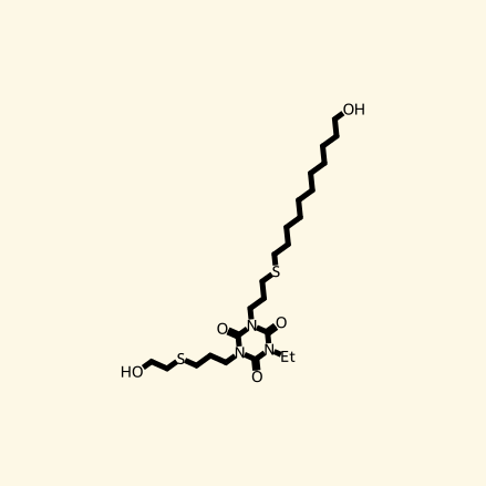 CCn1c(=O)n(CCCSCCO)c(=O)n(CCCSCCCCCCCCCCCO)c1=O